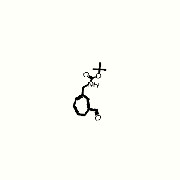 CC(C)(C)OC(=O)NCC1=CC=CCC(C=O)=C1